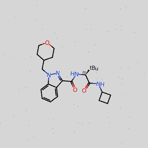 CC(C)(C)[C@H](NC(=O)c1nn(CC2CCOCC2)c2ccccc12)C(=O)NC1CCC1